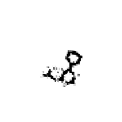 CCC(Nc1cc(-c2ccccc2)ncn1)C(=O)O